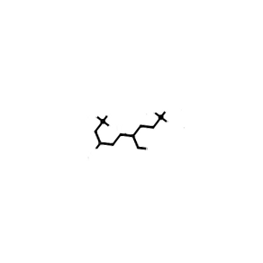 CC(CCC(C[O])CCC(C)(C)C)CC(C)(C)C